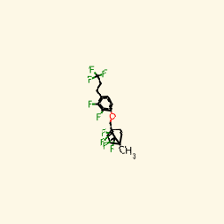 CC12CCC(COc3ccc(CCC(F)(F)F)c(F)c3F)(CC1)C(F)(F)C2(F)F